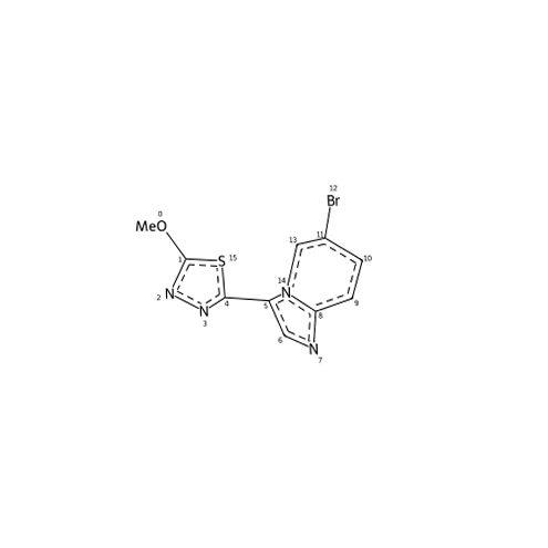 COc1nnc(-c2cnc3ccc(Br)cn23)s1